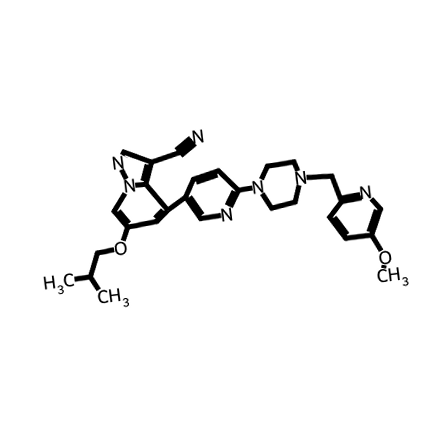 COc1ccc(CN2CCN(c3ccc(-c4cc(OCC(C)C)cn5ncc(C#N)c45)cn3)CC2)nc1